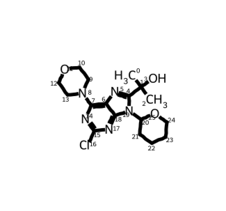 CC(C)(O)c1nc2c(N3CCOCC3)nc(Cl)nc2n1C1CCCCO1